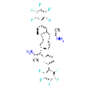 N#C/C(N)=C1\c2cc(-c3c(F)c(F)c(F)c(F)c3F)ccc2-c2cc3c(cc21)-c1ccc(-c2c(F)c(F)c(F)c(F)c2F)cc1/C3=C(/N)C#N